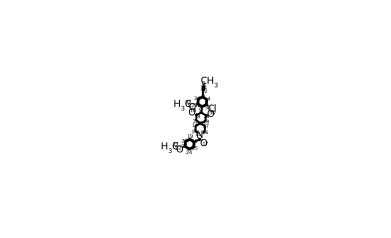 CC#Cc1cc(Cl)c(C2C(=O)CC3(CCN(C(=O)c4ccc(OC)cc4)CC3)CC2=O)c(OC)c1